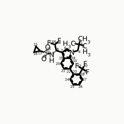 CC(C)(C)Cn1cc([C@H](NS(=O)(=O)C2CC2)C(F)F)c2ccc(-c3ccccc3C(F)(F)F)cc21